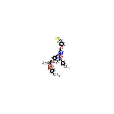 CCOC(=O)[C@H](Cc1ccc(C(F)(F)F)cc1)NC(=O)[C@H](Cc1ccc(OCC(COS(=O)(=O)c2ccc(C)cc2)OC(C)=O)cc1)n1cc(COc2ccc3nc(S)sc3c2)nn1